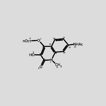 CCCCCCCCOc1c(O)c(=O)n(C)c2cc(NC(C)=O)ccc12